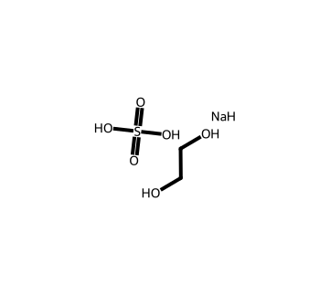 O=S(=O)(O)O.OCCO.[NaH]